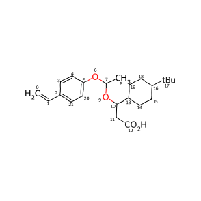 C=Cc1ccc(OC(C)OC(CC(=O)O)C2CCC(C(C)(C)C)CC2)cc1